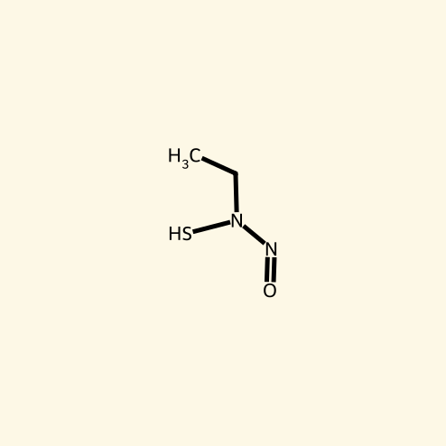 CCN(S)N=O